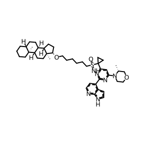 C[C@@H]1COCCN1c1cc(C2(S(=N)(=O)CCCCCCO[C@H]3CC[C@H]4[C@@H]5CC[C@H]6CCCC[C@]6(C)[C@H]5CC[C@]34C)CC2)nc(-c2ccnc3[nH]ccc23)n1